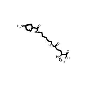 CNC(CCC(=O)NCCCCCNC(=O)c1ccc(N)cc1)C(=O)O